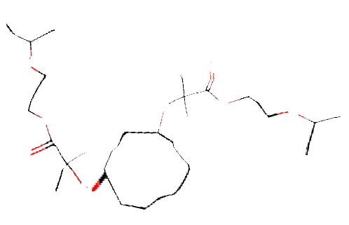 CC(C)OCCOC(=O)C(C)(C)OC1CCCCCC(OC(C)(C)C(=O)OCCOC(C)C)CC1